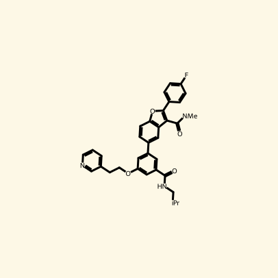 CNC(=O)c1c(-c2ccc(F)cc2)oc2ccc(-c3cc(OCCc4cccnc4)cc(C(=O)NCC(C)C)c3)cc12